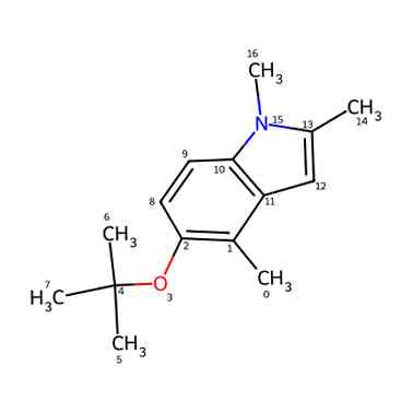 Cc1c(OC(C)(C)C)ccc2c1cc(C)n2C